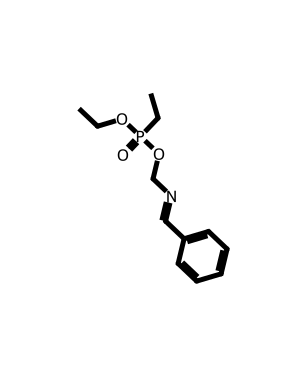 CCOP(=O)(CC)OCN=Cc1ccccc1